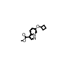 COC(=O)c1cnn2cc(OC3CCC3)ccc12